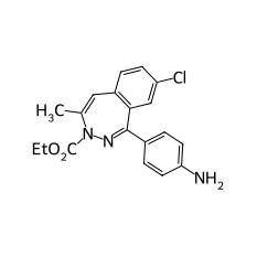 CCOC(=O)N1N=C(c2ccc(N)cc2)c2cc(Cl)ccc2C=C1C